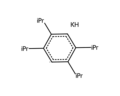 CC(C)c1[c]c(C(C)C)c(C(C)C)cc1C(C)C.[KH]